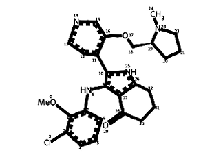 COc1c(Cl)cccc1Nc1c(-c2ccncc2OC[C@@H]2CCCN2C)[nH]c2c1C(=O)CCC2